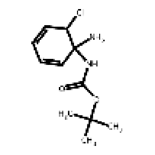 CC(C)(C)OC(=O)NC1(N)C=CC=CC1Cl